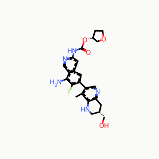 Cc1c(-c2cc3cc(NC(=O)O[C@@H]4CCOC4)ncc3c(N)c2F)cnc2c1NC[C@@H](CO)C2